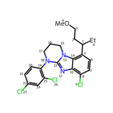 CCC(CCOC)c1ccc(Cl)c2nc3n(c12)CCCN3c1ccc(Cl)cc1Cl